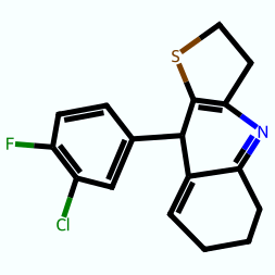 Fc1ccc(C2C3=CCCCC3=NC3=C2SCC3)cc1Cl